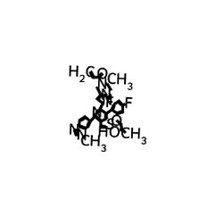 C=CC(=O)N1Cc2cc(-c3nc(-c4ccc5ncn(C)c5c4)c4ccsc4c3-c3c(F)cc(F)cc3OCC(C)O)nn2CC1C